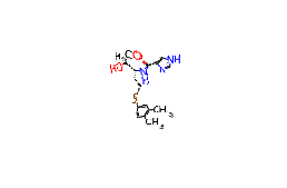 Cc1ccc(SCC[C@@H](NC(=O)c2c[nH]cn2)[C@H](C)O)cc1C